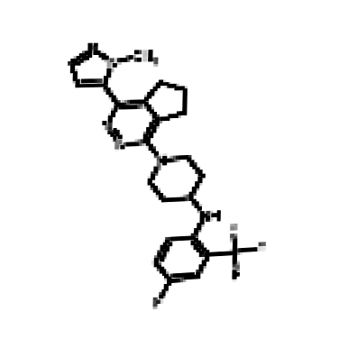 Cn1nccc1-c1nnc(N2CCC(Nc3ccc(F)cc3C(F)(F)F)CC2)c2c1CCC2